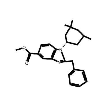 COC(=O)c1ccc2c(c1)nc(Cc1ccccc1)n2[C@H]1CC(C)CC(C)(C)C1